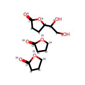 O=C1CCC(C(O)CO)O1.O=C1CCCO1.O=C1CCCO1